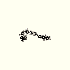 COc1cc(N2CCC(N3CCN(CCC4CCC(c5cc(F)c(C6CCC(=O)NC6=O)c(F)c5)CC4)CC3)CC2)ccc1Nc1ncc(Cl)c(Nc2cccc3c2N(S(C)(=O)=O)CC32CC2)n1